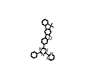 CC1(C)c2ccccc2-c2cc3c(cc21)oc1cc(-c2nc(-c4ccccc4)nc(-c4ncccn4)n2)ccc13